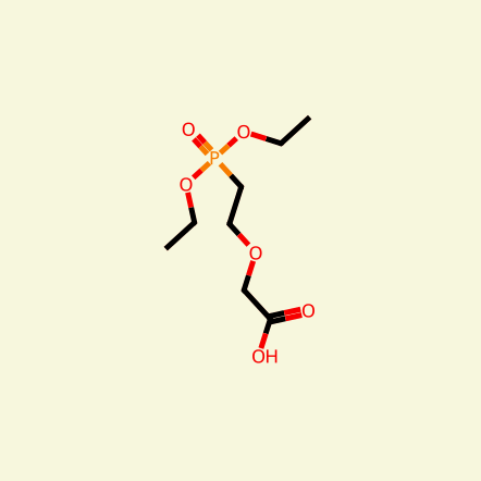 CCOP(=O)(CCOCC(=O)O)OCC